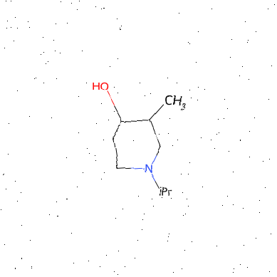 CC1CN(C(C)C)CCC1O